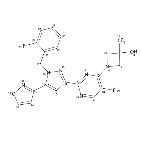 OC1(C(F)(F)F)CN(c2nc(-c3cc(-c4ccon4)n(Cc4ccccc4F)n3)ncc2F)C1